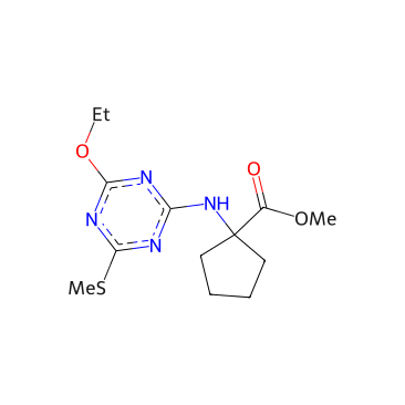 CCOc1nc(NC2(C(=O)OC)CCCC2)nc(SC)n1